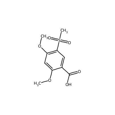 COc1cc(OC)c(S(C)(=O)=O)cc1C(=O)O